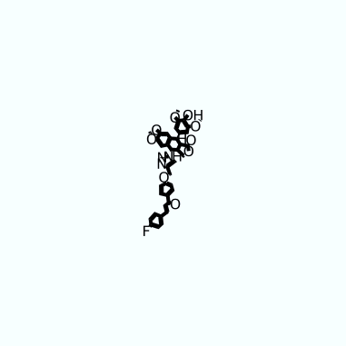 COc1cc([C@@H]2c3cc4c(cc3[C@@H](n3cc(COc5ccc(C(=O)/C=C/c6ccc(F)cc6)cc5)nn3)[C@H]3COC(=O)[C@H]23)OCO4)cc(OC)c1O